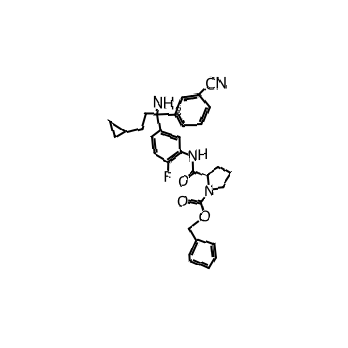 N#Cc1cccc(C(N)(CCC2CC2)c2ccc(F)c(NC(=O)[C@H]3CCCN3C(=O)OCc3ccccc3)c2)c1